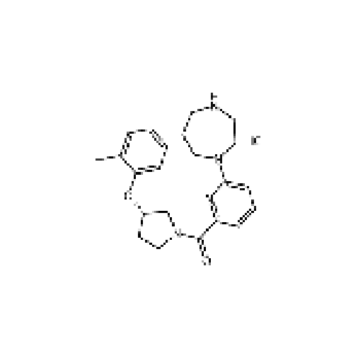 Cl.O=C(c1cccc(N2CCCNCC2)n1)N1CC[C@H](Oc2ccccc2F)C1